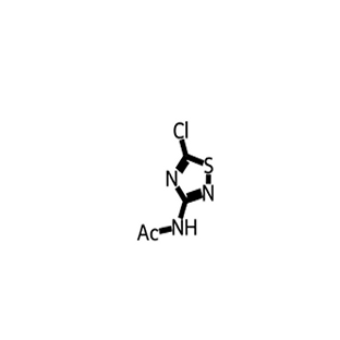 CC(=O)Nc1nsc(Cl)n1